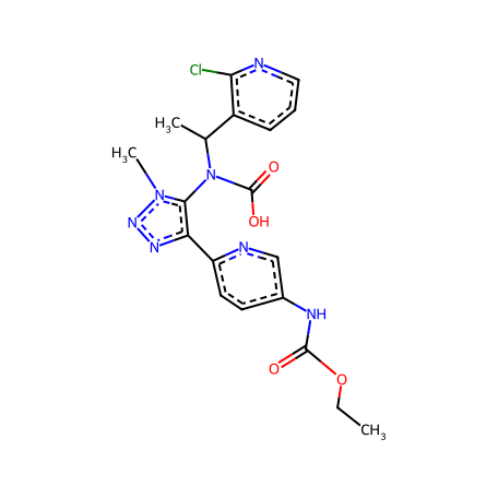 CCOC(=O)Nc1ccc(-c2nnn(C)c2N(C(=O)O)C(C)c2cccnc2Cl)nc1